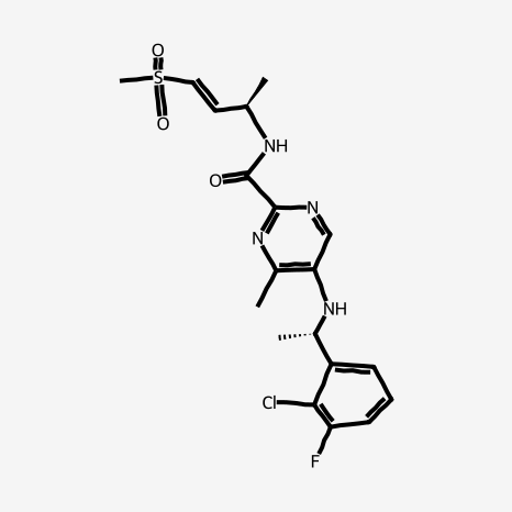 Cc1nc(C(=O)N[C@H](C)/C=C/S(C)(=O)=O)ncc1N[C@@H](C)c1cccc(F)c1Cl